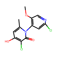 COc1cnc(Cl)cc1-n1c(C)cc(O)c(Cl)c1=O